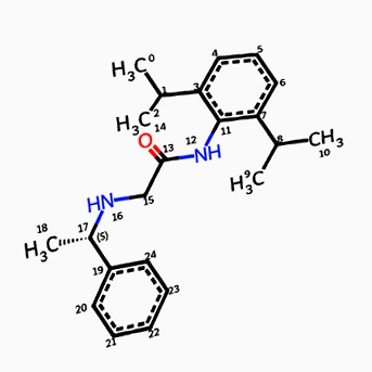 CC(C)c1cccc(C(C)C)c1NC(=O)CN[C@@H](C)c1ccccc1